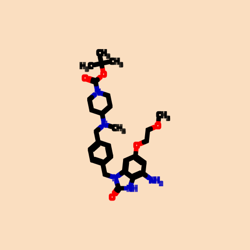 COCCOc1cc(N)c2[nH]c(=O)n(Cc3ccc(CN(C)C4CCN(C(=O)OC(C)(C)C)CC4)cc3)c2c1